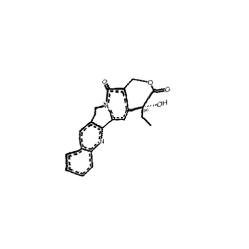 CC[C@]1(O)C(=O)OCc2c1cc1n(c2=O)Cc2cc3ccccc3nc2-1